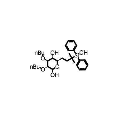 CCCCO[C@@H]1[C@@H](OCCCC)[C@H](O)[C@@H](CCC(C)(C)[Si](O)(c2ccccc2)c2ccccc2)O[C@H]1O